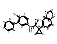 O=C(Nc1ccc(F)c(-c2ccccc2)c1)C1(c2ccc3c(c2)OCO3)CC1